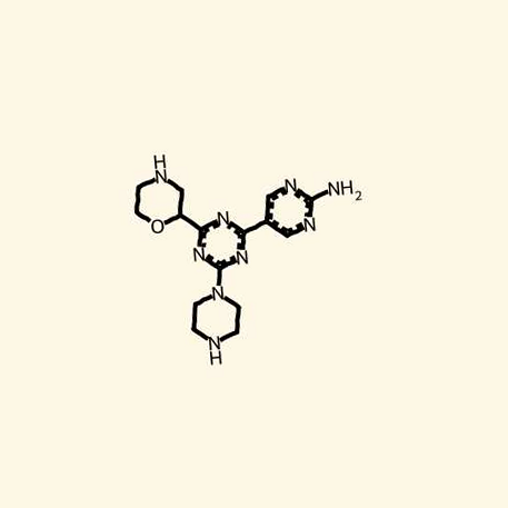 Nc1ncc(-c2nc(C3CNCCO3)nc(N3CCNCC3)n2)cn1